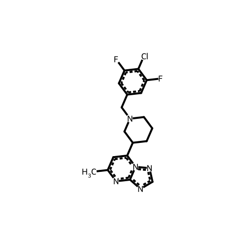 Cc1cc(C2CCCN(Cc3cc(F)c(Cl)c(F)c3)C2)n2ncnc2n1